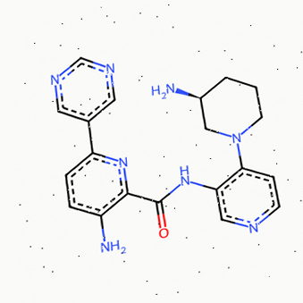 Nc1ccc(-c2cncnc2)nc1C(=O)Nc1cnccc1N1CCC[C@H](N)C1